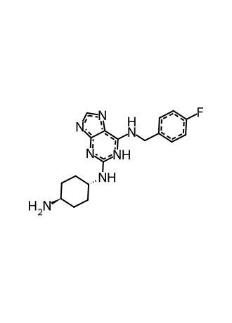 N[C@H]1CC[C@H](Nc2nc3ncnc-3c(NCc3ccc(F)cc3)[nH]2)CC1